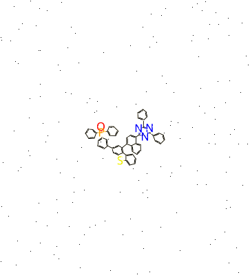 O=P(c1ccccc1)(c1ccccc1)c1cccc(-c2cc(-c3ccc(-c4nc(-c5ccccc5)nc(-c5ccccc5)n4)c4ccccc34)c3c(c2)sc2ccccc23)c1